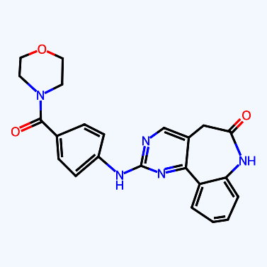 O=C1Cc2cnc(Nc3ccc(C(=O)N4CCOCC4)cc3)nc2-c2ccccc2N1